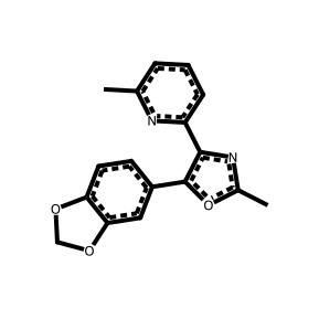 Cc1cccc(-c2nc(C)oc2-c2ccc3c(c2)OCO3)n1